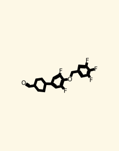 O=CC1CCC(c2cc(F)c(OCc3cc(F)c(F)c(F)c3)c(F)c2)CC1